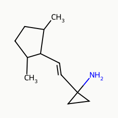 CC1CCC(C)C1/C=C/C1(N)CC1